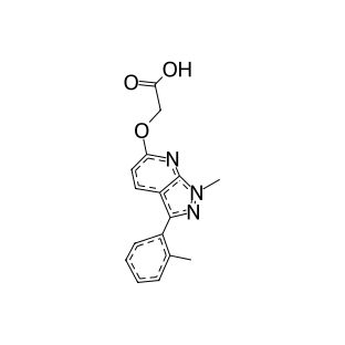 Cc1ccccc1-c1nn(C)c2nc(OCC(=O)O)ccc12